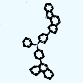 c1ccc(N(c2ccc(-c3ccc4ccc5c6ccccc6sc5c4c3)cc2)c2ccc(-c3cc4ccccc4c4ccccc34)cc2)cc1